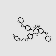 C[C@@H]1CCN(CCOc2ccc(C3Oc4cc(OC5CCCCO5)ccc4C(C)(O)C3c3ccc(OC4CCCCO4)cc3)cc2)C1